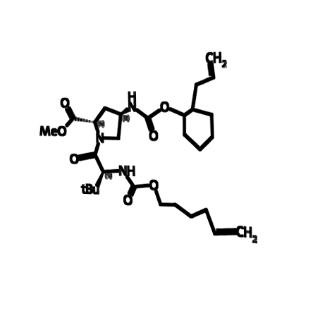 C=CCCCCOC(=O)N[C@H](C(=O)N1C[C@H](NC(=O)OC2CCCCC2CC=C)C[C@H]1C(=O)OC)C(C)(C)C